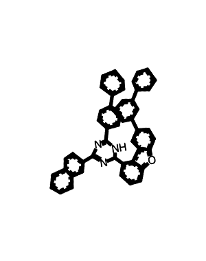 c1ccc(-c2ccc(C3=NC(c4ccc5ccccc5c4)=NC(c4cccc5oc6ccc(-c7cccc(-c8ccccc8)c7)cc6c45)N3)cc2)cc1